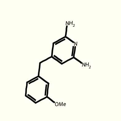 COc1cccc(Cc2cc(N)nc(N)c2)c1